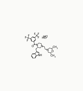 CC1CN(CCN2CCN(C(=O)c3cc(C(F)(F)F)cc(C(F)(F)F)c3)[C@H](Cc3c[nH]c4ccccc34)C2)CC(C)O1.Cl.Cl